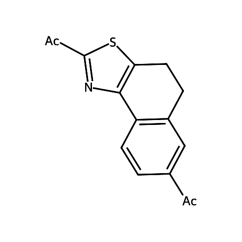 CC(=O)c1ccc2c(c1)CCc1sc(C(C)=O)nc1-2